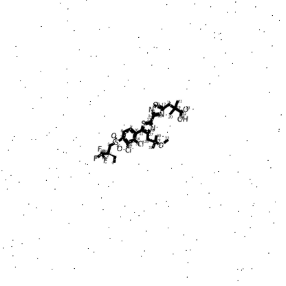 CC[C@H](CS(=O)(=O)c1ccc(-c2sc(-c3noc(CC(C)(C)C(=O)O)n3)nc2CC(C)(C)OC)c(Cl)c1Cl)C(F)(F)F